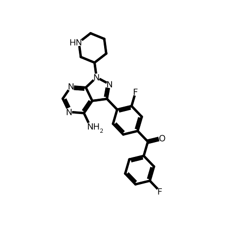 Nc1ncnc2c1c(-c1ccc(C(=O)c3cccc(F)c3)cc1F)nn2C1CCCNC1